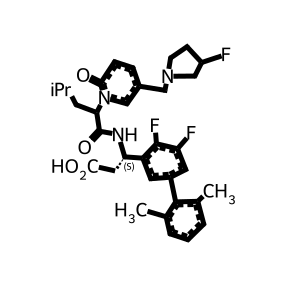 Cc1cccc(C)c1-c1cc(F)c(F)c([C@H](CC(=O)O)NC(=O)C(CC(C)C)n2cc(CN3CCC(F)C3)ccc2=O)c1